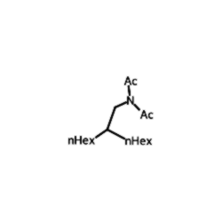 CCCCCCC(CCCCCC)CN(C(C)=O)C(C)=O